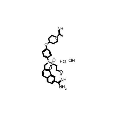 COCCS(=O)(=O)N(Cc1ccc2ccc(C(=N)N)cc2c1)c1ccc(OC2CCN(C(C)=N)CC2)cc1.Cl.Cl